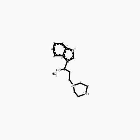 Cl.OC(CCN1CCNCC1)c1csc2ccccc12